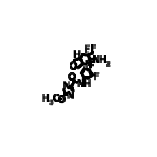 COc1cnc(C(=O)Nc2cc(F)c(F)c([C@]34COC[C@H]3C[C@@](F)(CF)C(N)=N4)c2)cn1